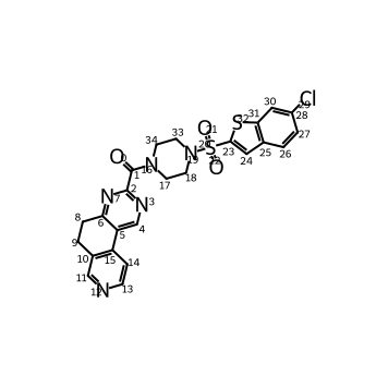 O=C(c1ncc2c(n1)CCc1cnccc1-2)N1CCN(S(=O)(=O)c2cc3ccc(Cl)cc3s2)CC1